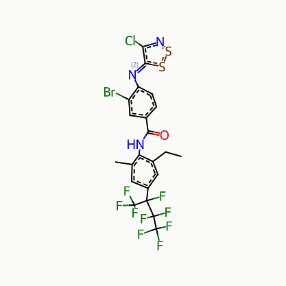 CCc1cc(C(F)(C(F)(F)F)C(F)(F)C(F)(F)F)cc(C)c1NC(=O)c1ccc(/N=c2\ssnc2Cl)c(Br)c1